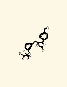 O=Cc1ccc(C2OC(=O)NC2Cc2cccc(OC(F)(F)C(F)F)c2)cc1